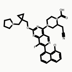 N#CCC1CN(c2nc(OCC3(CN4CCCC4)CC3)nc3c(F)c(-c4cccc5cccc(Cl)c45)ncc23)CCN1C(=O)O